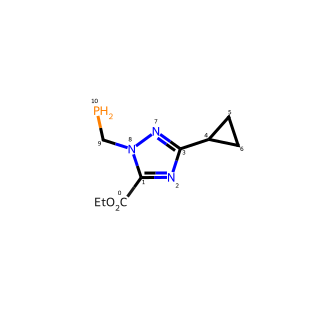 CCOC(=O)c1nc(C2CC2)nn1CP